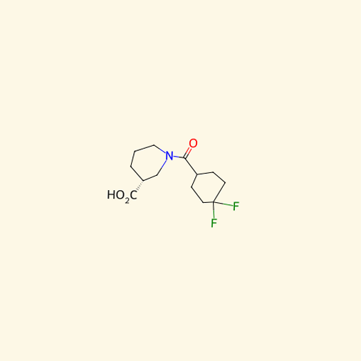 O=C(O)[C@@H]1CCCN(C(=O)C2CCC(F)(F)CC2)C1